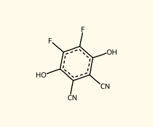 N#Cc1c(O)c(F)c(F)c(O)c1C#N